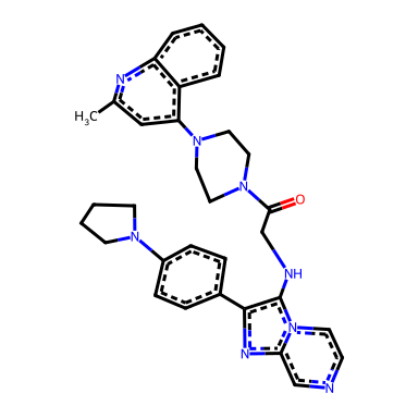 Cc1cc(N2CCN(C(=O)CNc3c(-c4ccc(N5CCCC5)cc4)nc4cnccn34)CC2)c2ccccc2n1